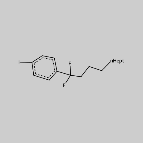 CCCCCCCCCCC(F)(F)c1ccc(I)cc1